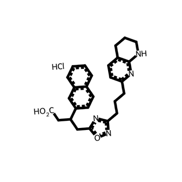 Cl.O=C(O)CC(Cc1nc(CCCc2ccc3c(n2)NCCC3)no1)c1ccc2ccccc2c1